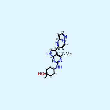 CNc1nc(NC2CCC(C)(O)CC2)nc2[nH]cc(-c3ccn4nccc4n3)c12